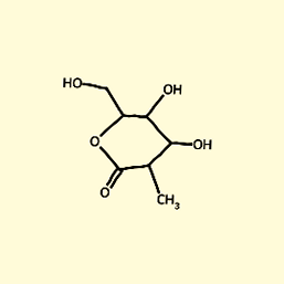 CC1C(=O)OC(CO)C(O)C1O